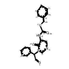 O=CC(c1cccnc1)n1cncc(NC(=O)OCc2ccccc2)c1=O